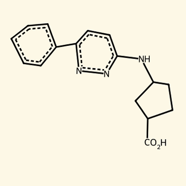 O=C(O)C1CCC(Nc2ccc(-c3ccccc3)nn2)C1